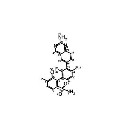 Cc1ccc(S(N)(=O)=O)c(-c2ccc(F)c(-c3ccc4nc(N)ncc4c3)c2F)c1Cl